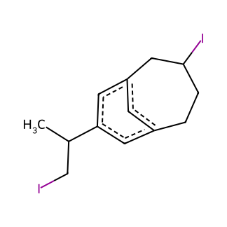 CC(CI)c1cc2cc(c1)CC(I)CC2